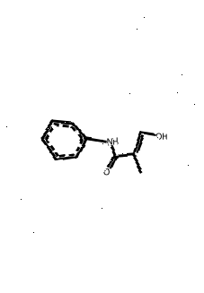 CC(=CO)C(=O)Nc1ccccc1